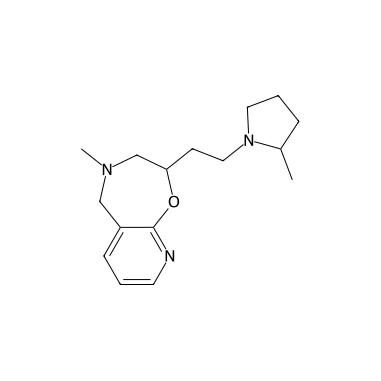 CC1CCCN1CCC1CN(C)Cc2cccnc2O1